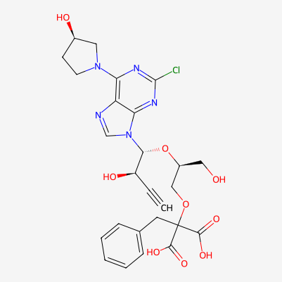 C#C[C@@H](O)[C@@H](O[C@@H](CO)COC(Cc1ccccc1)(C(=O)O)C(=O)O)n1cnc2c(N3CC[C@@H](O)C3)nc(Cl)nc21